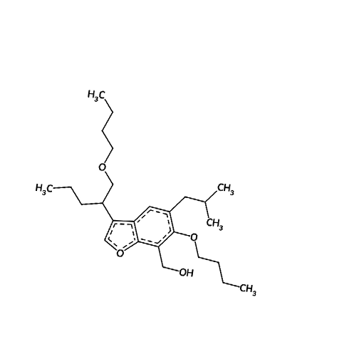 CCCCOCC(CCC)c1coc2c(CO)c(OCCCC)c(CC(C)C)cc12